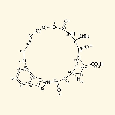 CC(C)(C)[C@@H]1NC(=O)OCC/C=C/COc2cccc3c2CN(C3)C(=O)O[C@@H]2CC(C(=O)O)N(C2)C1=O